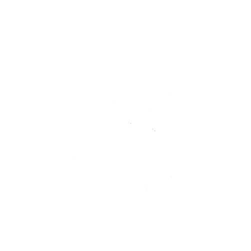 COc1ccc(Cl)c2[nH]c(Nc3ccc(Cl)cc3Cl)c(C(=O)CC(C)C)c(=O)c12